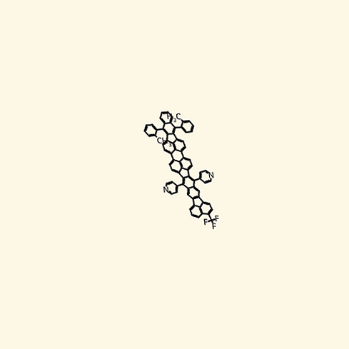 Cc1ccccc1-c1c2c(c(-c3ccccc3C)c3ccccc13)-c1ccc3c4ccc5c6c(-c7ccncc7)c7cc8c(cc7c(-c7ccncc7)c6c6ccc(c7ccc-2c1c73)c4c65)c1cccc2c(C(F)(F)F)ccc8c21